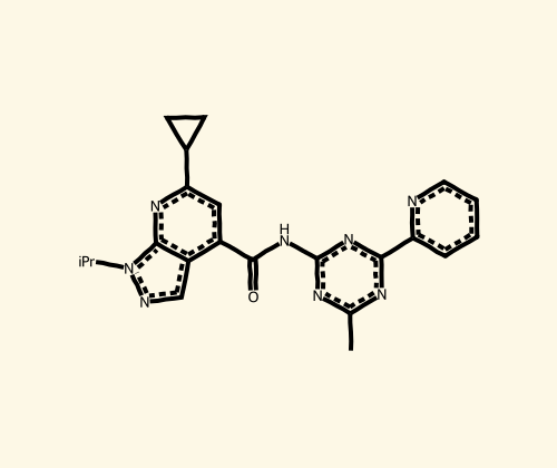 Cc1nc(NC(=O)c2cc(C3CC3)nc3c2cnn3C(C)C)nc(-c2ccccn2)n1